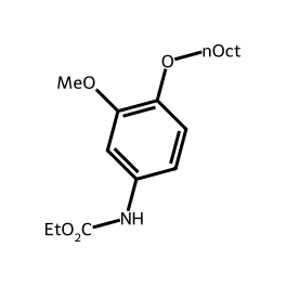 CCCCCCCCOc1ccc(NC(=O)OCC)cc1OC